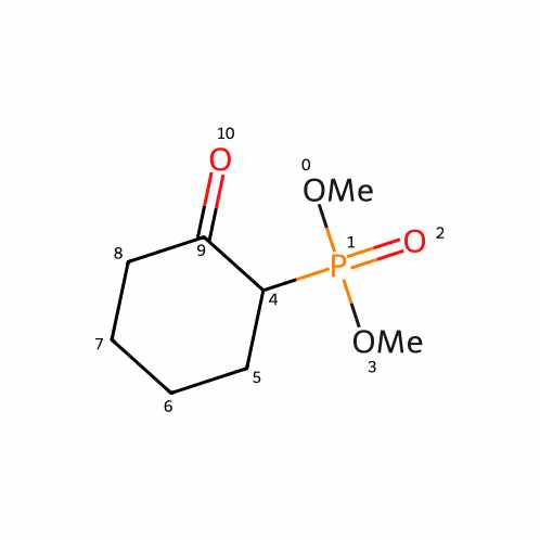 COP(=O)(OC)C1CCCCC1=O